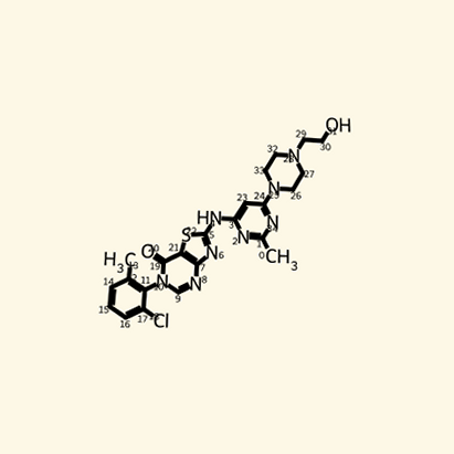 Cc1nc(Nc2nc3ncn(-c4c(C)cccc4Cl)c(=O)c3s2)cc(N2CCN(CCO)CC2)n1